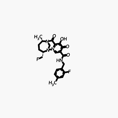 Cc1ccc(CNC(=O)c2cn3c(c(O)c2=O)C(=O)N2CN3[C@H](CF)CC[C@@H]2C)c(F)c1